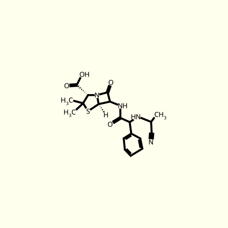 CC(C#N)NC(C(=O)NC1C(=O)N2[C@@H]1SC(C)(C)[C@@H]2C(=O)O)c1ccccc1